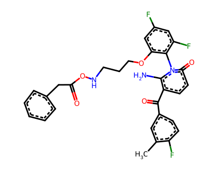 Cc1cc(C(=O)c2ccc(=O)n(-c3c(F)cc(F)cc3OCCCNOC(=O)Cc3ccccc3)c2N)ccc1F